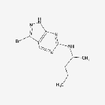 CCCC(C)Nc1ncc2c(Br)n[nH]c2n1